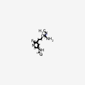 C/N=C(/N)OCCc1cc(NC=O)cnc1F